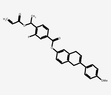 C=CC(=O)OC(C)c1ccc(C(=O)Oc2ccc3c(c2)CC=C(c2ccc(OC)cc2)C3)cc1F